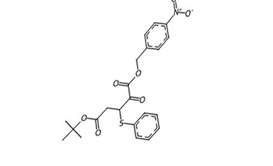 CC(C)(C)OC(=O)CC(Sc1ccccc1)C(=O)C(=O)OCc1ccc([N+](=O)[O-])cc1